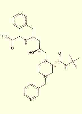 CC(C)(C)NC(=O)[C@@H]1CN(Cc2cccnc2)CCN1C[C@@H](O)CC(Cc1ccccc1)NCC(=O)O